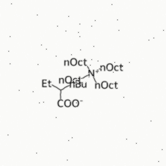 CCCCC(CC)C(=O)[O-].CCCCCCCC[N+](CCCCCCCC)(CCCCCCCC)CCCCCCCC